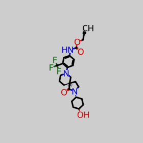 C#CCOC(=O)Nc1ccc(N2CCC[C@]3(CCN([C@H]4CC[C@H](O)CC4)C3=O)C2)c(C(F)(F)F)c1